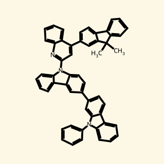 CC1(C)c2ccccc2-c2ccc(-c3cc(-n4c5ccccc5c5cc(-c6ccc7c8ccccc8n(-c8ccccc8)c7c6)ccc54)nc4ccccc34)cc21